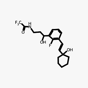 O=C(NCCC(O)c1cccc(C=CC2(O)CCCCC2)c1F)C(F)(F)F